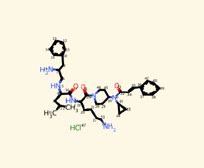 CC(C)CC(NCC(N)Cc1ccccc1)C(=O)NC(CCCCN)C(=O)N1CCC(N(C(=O)C=Cc2ccccc2)C2CC2)CC1.Cl